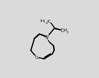 CC(C)N1C/C=C\OCCC1